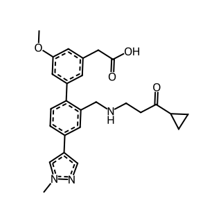 COc1cc(CC(=O)O)cc(-c2ccc(-c3cnn(C)c3)cc2CNCCC(=O)C2CC2)c1